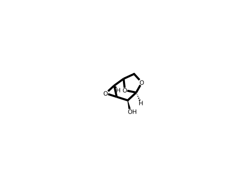 O[C@H]1C2O[C@H]2C2CO[C@@H]1O2